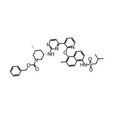 Cc1ccc2c(NS(=O)(=O)CC(C)C)cccc2c1Oc1ncccc1-c1ccnc(N[C@H]2C[C@@H](C)CN(C(=O)OCc3ccccc3)C2)n1